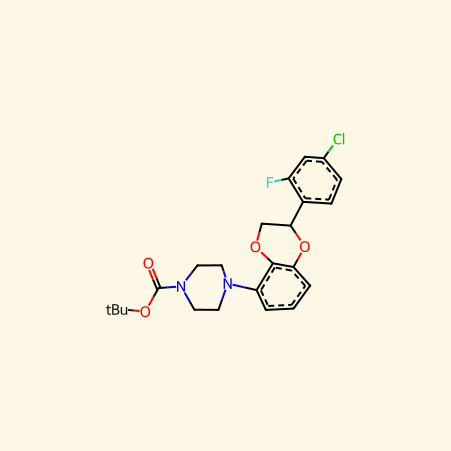 CC(C)(C)OC(=O)N1CCN(c2cccc3c2OCC(c2ccc(Cl)cc2F)O3)CC1